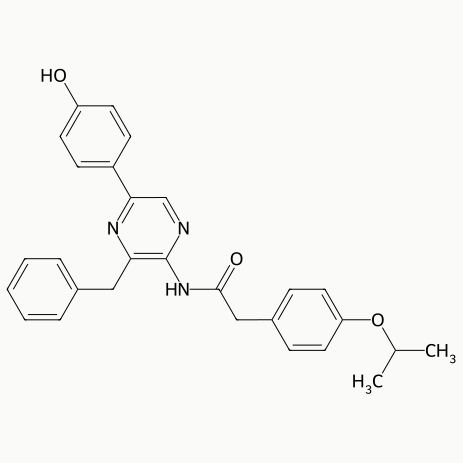 CC(C)Oc1ccc(CC(=O)Nc2ncc(-c3ccc(O)cc3)nc2Cc2ccccc2)cc1